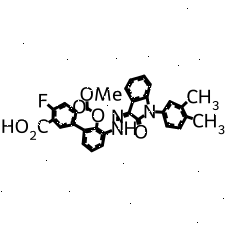 COC(=O)Oc1c(NN=C2C(=O)N(c3ccc(C)c(C)c3)c3ccccc32)cccc1-c1ccc(F)c(C(=O)O)c1